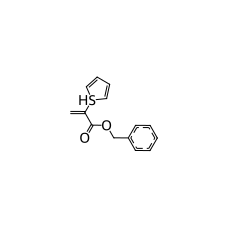 C=C(C(=O)OCc1ccccc1)[SH]1C=CC=C1